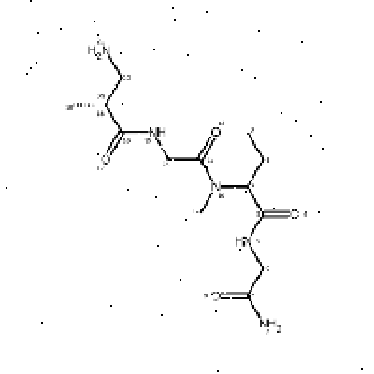 CCC(C(=O)NCC(N)=O)N(C)C(=O)CNC(=O)[C@H](C)CN